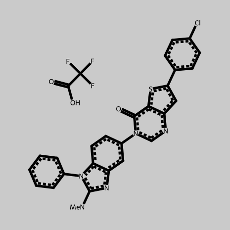 CNc1nc2cc(-n3cnc4cc(-c5ccc(Cl)cc5)sc4c3=O)ccc2n1-c1ccccc1.O=C(O)C(F)(F)F